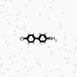 Nc1ccc(C2=CC=C(Cl)CC2)cc1